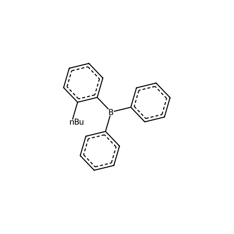 CCCCc1ccccc1B(c1ccccc1)c1ccccc1